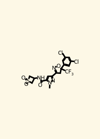 Cn1nc(C2=NOC(c3cc(Cl)cc(Cl)c3)(C(F)(F)F)C2)cc1C(=O)NC1CS(=O)(=O)C1